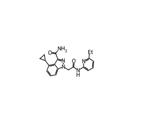 CCc1cccc(NC(=O)Cn2nc(C(N)=O)c3c(C4CC4)cccc32)n1